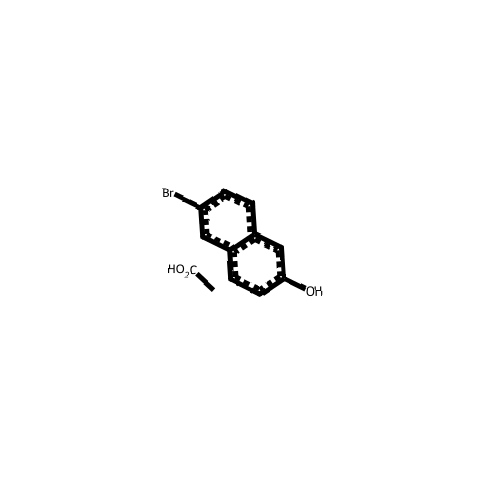 CC(=O)O.Oc1ccc2cc(Br)ccc2c1